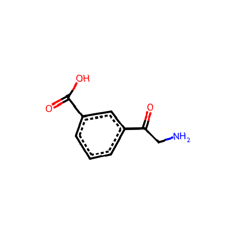 NCC(=O)c1cccc(C(=O)O)c1